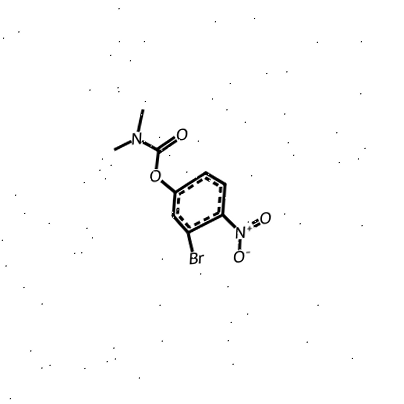 CN(C)C(=O)Oc1ccc([N+](=O)[O-])c(Br)c1